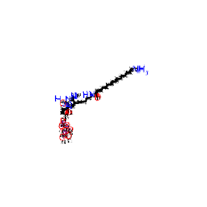 C/N=C(N)\C(C#CCCCNC(=O)CCCCCCCCCCCCCCCN)=C/N(C=O)C1CC[C@@H](COP(OC)OP(OC)OP(OC)OC)O1